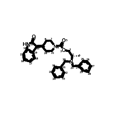 C[C@@H](COC(=O)N1CCC(=C2C(=O)Nc3ccccc32)CC1)N(Cc1ccccc1)Cc1ccccc1